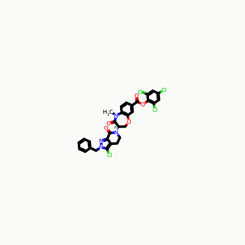 CN1C(=O)[C@@H](N2CCc3c(nn(Cc4ccccc4)c3Cl)C2=O)COc2cc(C(=O)Oc3c(Cl)cc(Cl)cc3Cl)ccc21